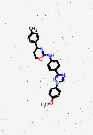 Cc1ccc(C2CCOC(Nc3ccc(-c4ncn(-c5ccc(OC(F)(F)F)cc5)n4)cc3)=N2)cc1